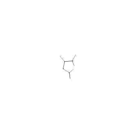 CC1CC(O)OC1C